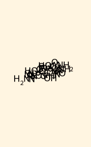 Nc1nc2c(ncn2C2OC(COP(=O)(O)OC3C(COPO)OC(n4cnc5c(N)ncnc54)C3O)C(O)C2OC=O)c(=O)[nH]1